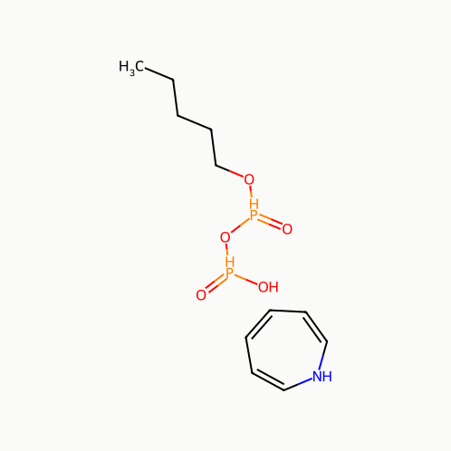 C1=CC=CNC=C1.CCCCCO[PH](=O)O[PH](=O)O